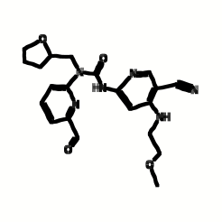 COCCNc1cc(NC(=O)N(CC2CCCO2)c2cccc(C=O)n2)ncc1C#N